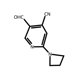 N#Cc1cc(N2CCC2)ncc1C=O